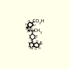 CC(C1CCC(c2ccnc3ccc(F)cc23)CC1)n1cnc2ccc(C(=O)O)cc21